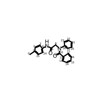 Cc1ccc(NC(=O)CN(C(=O)c2ccccc2)c2ccccc2)cc1